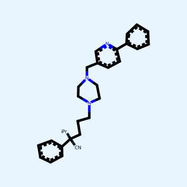 CC(C)C(C#N)(CCCN1CCN(Cc2ccc(-c3ccccc3)nc2)CC1)c1ccccc1